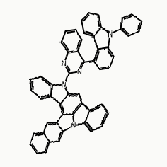 c1ccc(-n2c3ccccc3c3c(-c4nc(-n5c6ccccc6c6c7c8cc9ccccc9cc8n8c9ccccc9c(cc65)c78)nc5ccccc45)cccc32)cc1